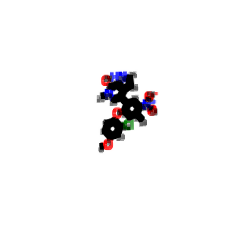 COc1ccc(Oc2cc(C)c([N+](=O)[O-])cc2-c2cn(C)c(=O)c3[nH]ccc23)c(Cl)c1